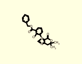 CC1(C)Cc2ncn(-c3cccc(C(=O)OCc4ccccc4)c3Cl)c2C(=O)O1